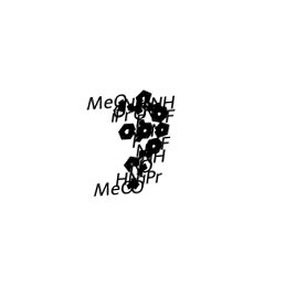 COC(=O)NC(C(=O)N1CCC[C@H]1c1nc2cc([C@H]3CC[C@H](c4cc5nc([C@@H]6CCCN6C(=O)[C@@H](NC(=O)OC)C(C)C)[nH]c5cc4F)N3c3cc(F)c(N4CCCCC4)c(F)c3)c(F)cc2[nH]1)C(C)C